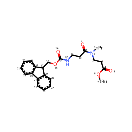 CCCN(CCC(=O)OC(C)(C)C)C(=O)CCNC(=O)OCC1c2ccccc2-c2ccccc21